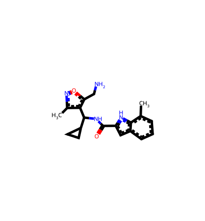 Cc1noc(CN)c1C(NC(=O)c1cc2cccc(C)c2[nH]1)C1CC1